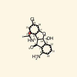 CC(=O)N[C@@]12C(=O)c3c(N)cccc3[C@]1(O)Oc1cc(Cl)ccc12